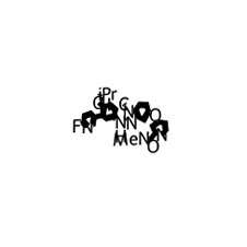 CNC(=O)c1cc(Oc2ccc3c(c2)nc(Nc2ccc(OC(C)C)c(-c4ccc(F)nc4)c2)n3C)ccn1